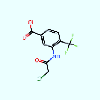 O=C(CCl)Nc1cc(C(=O)O)ccc1C(F)(F)F